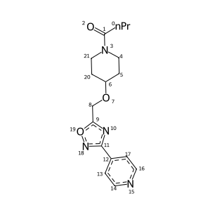 CCCC(=O)N1CCC(OCc2nc(-c3ccncc3)no2)CC1